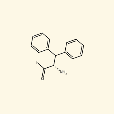 N[C@H](C(=O)I)C(c1ccccc1)c1ccccc1